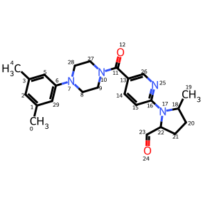 Cc1cc(C)cc(N2CCN(C(=O)c3ccc(N4C(C)CCC4C=O)nc3)CC2)c1